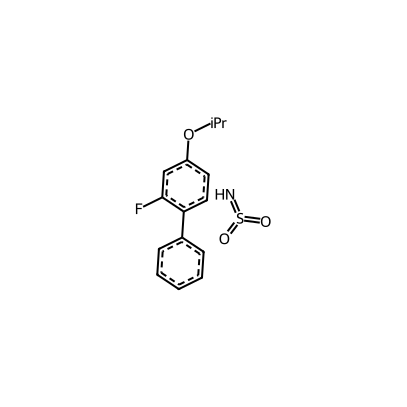 CC(C)Oc1ccc(-c2ccccc2)c(F)c1.N=S(=O)=O